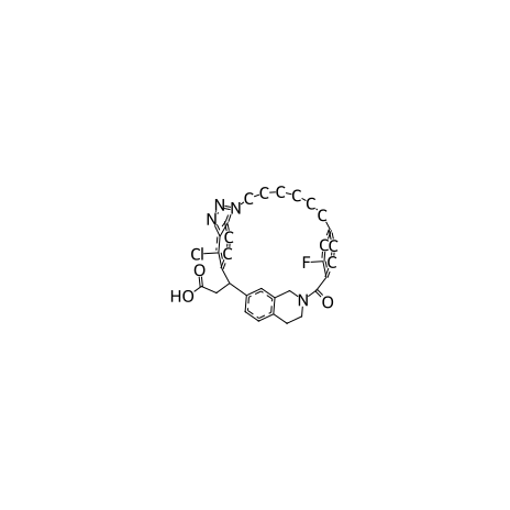 O=C(O)CC1c2ccc3c(c2)CN(CC3)C(=O)c2ccc(cc2F)CCCCCCn2nnc3c(Cl)c1ccc32